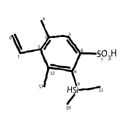 C=Cc1c(C)cc(S(=O)(=O)O)c([SiH](C)C)c1C